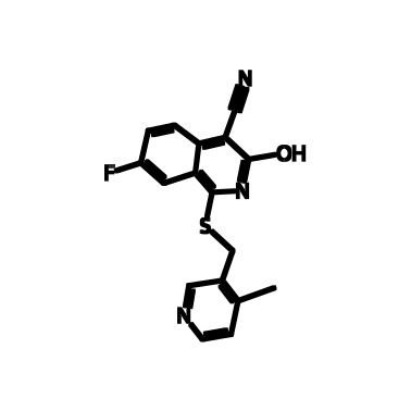 Cc1ccncc1CSc1nc(O)c(C#N)c2ccc(F)cc12